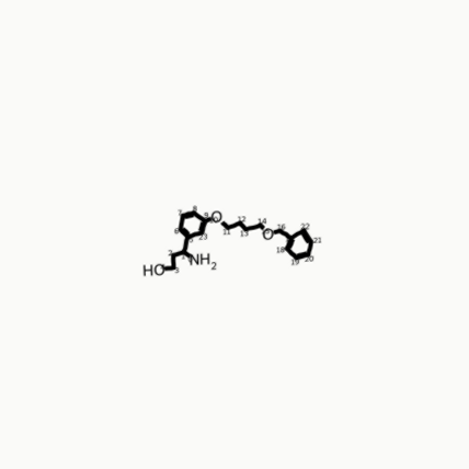 NC(CCO)c1cccc(OCCCCOCc2ccccc2)c1